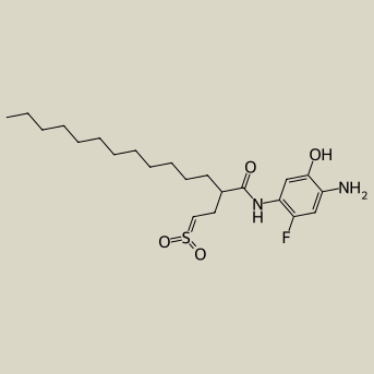 CCCCCCCCCCCCC(CC=S(=O)=O)C(=O)Nc1cc(O)c(N)cc1F